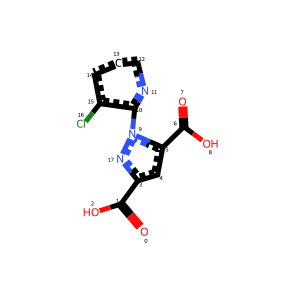 O=C(O)c1cc(C(=O)O)n(-c2ncccc2Cl)n1